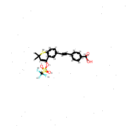 CC1(C)C=C(OS(=O)(=O)C(F)(F)F)c2cc(C#Cc3ccc(C(=O)O)cc3)ccc2S1